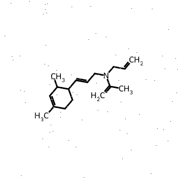 C=CCN(C/C=C/C1CCC(C)=CC1C)C(=C)C